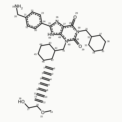 C=C.C=C.C=C.C=C.C=C.C=C.C=C.COCCO.NCc1ccc(-c2nc3c(=O)n(CC4CCCCC4)c(=O)n(CC4CCCCC4)c3[nH]2)cc1